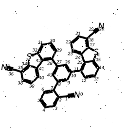 N#Cc1ccccc1-c1cc(-c2cccc3sc4c(C#N)cccc4c23)cc(-c2cccc3sc4c(C#N)cccc4c23)c1